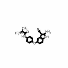 C[C@H](N)C(=O)Nc1ccc(Oc2ccc3[nH]c(N)c(C#N)c3c2)cc1